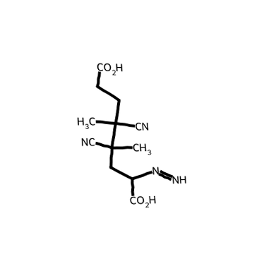 CC(C#N)(CCC(=O)O)C(C)(C#N)CC(N=N)C(=O)O